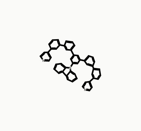 c1cc(-c2ccncc2)cc(-c2cccc(-c3cc(-c4cccc(-c5cccc(-c6ccncc6)c5)c4)cc(-n4c5ccccc5c5ccccc54)c3)c2)c1